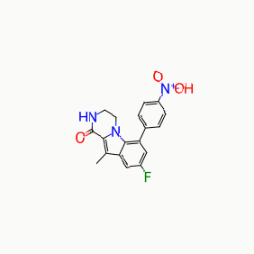 Cc1c2n(c3c(-c4ccc([N+](=O)O)cc4)cc(F)cc13)CCNC2=O